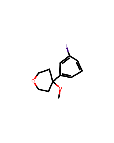 COC1(c2cccc(I)c2)CCOCC1